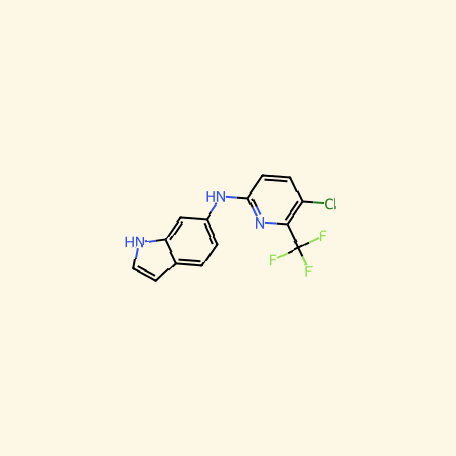 FC(F)(F)c1nc(Nc2ccc3cc[nH]c3c2)ccc1Cl